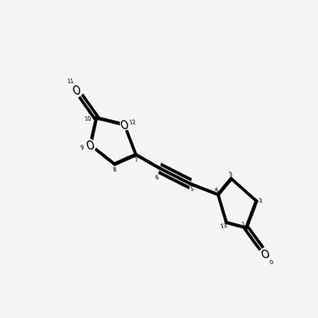 O=C1CCC(C#CC2COC(=O)O2)C1